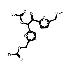 CCC(=O)OCc1ccc(C(OC(=O)CC)C(=O)c2ccc(COC(C)=O)o2)o1